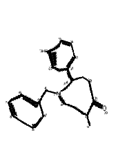 CC1CN(Cc2ccccc2)C(c2ccccc2)CC1=O